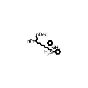 CCCCCCCCCCCC=C(CCC)CCCCCCCC([SiH2]c1ccccc1)[SiH2]c1ccccc1